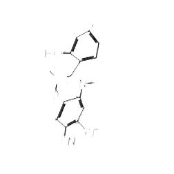 CCN(c1ccc(C#N)c(C(F)(F)F)c1)[C@@H](c1ccccc1O)[S+](C)[O-]